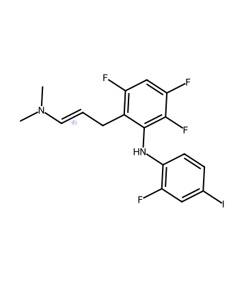 CN(C)/C=C/Cc1c(F)cc(F)c(F)c1Nc1ccc(I)cc1F